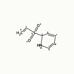 C=CS(=O)(=O)C1C=C[C]=CN1